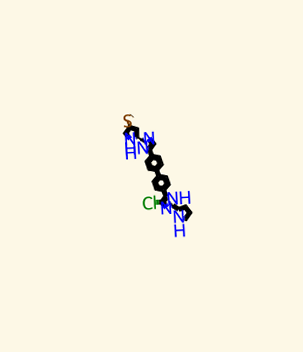 CS[C@@H]1CN[C@H](c2ncc(-c3ccc(-c4ccc(-c5[nH]c(C6CCCN6)nc5Cl)cc4)cc3)[nH]2)C1